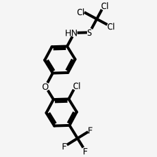 FC(F)(F)c1ccc(Oc2ccc(NSC(Cl)(Cl)Cl)cc2)c(Cl)c1